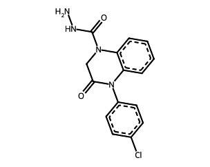 NNC(=O)N1CC(=O)N(c2ccc(Cl)cc2)c2ccccc21